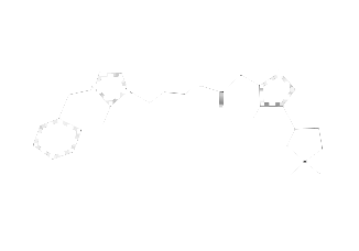 Cc1n(CCCOC(=O)Cc2scc(C3CCC(F)(F)C3)c2O)cc[n+]1Cc1ccccc1